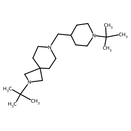 CC(C)(C)N1CCC(CN2CCC3(CC2)CN(C(C)(C)C)C3)CC1